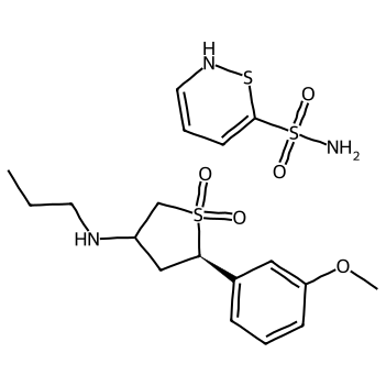 CCCNC1C[C@H](c2cccc(OC)c2)S(=O)(=O)C1.NS(=O)(=O)C1=CC=CNS1